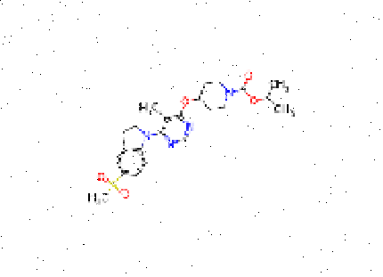 Cc1c(OC2CCN(C(=O)OC(C)C)CC2)ncnc1N1CCc2cc(S(C)(=O)=O)ccc21